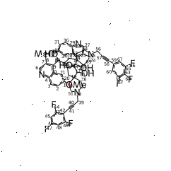 COc1ccc2ncc(C)c([C@@H](O)CCC3(C(O)C(O)C4(CC[C@H](O)c5c(C)cnc6ccc(OC)cc56)CCN(CC#Cc5c(F)cc(F)cc5F)CC4)CCN(CC#Cc4cc(F)c(F)c(F)c4)CC3)c2c1